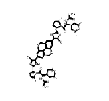 COC(=O)N[C@H](C(=O)N1[C@@H](C)CC[C@H]1c1nc(Cl)c(-c2cc3c4c(c2)OCc2cc(-c5[nH]c([C@@H]6CC[C@H](C)N6C(=O)[C@@H](NC(=O)OC)C6C[C@@H](C)O[C@H](C)C6)nc5Cl)cc(c2-4)OC3)[nH]1)C1C[C@@H](C)O[C@H](C)C1